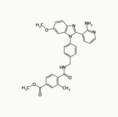 COC(=O)c1ccc(C(=O)NCc2ccc(-n3c(-c4cccnc4N)nc4ccc(OC)cc43)cc2)c(C)c1